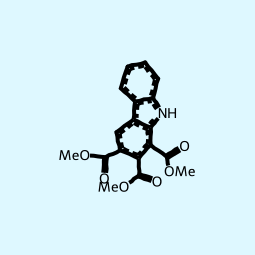 COC(=O)c1cc2c([nH]c3ccccc32)c(C(=O)OC)c1C(=O)OC